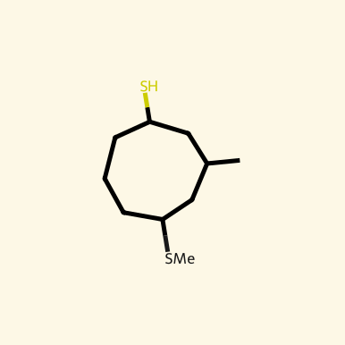 CSC1CCCC(S)CC(C)C1